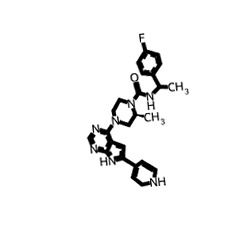 CC(NC(=O)N1CCN(c2ncnc3[nH]c(C4=CCNC=C4)cc23)C[C@@H]1C)c1ccc(F)cc1